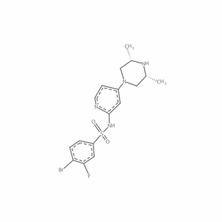 C[C@@H]1CN(c2ccnc(NS(=O)(=O)c3ccc(Br)c(F)c3)c2)C[C@H](C)N1